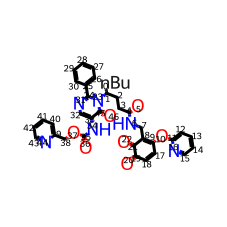 CCCCC(CCC(=O)NCC1=C(Oc2ccccn2)C=CC(=O)C1=O)n1c(-c2ccccc2)ncc(NC(=O)OCc2ccccn2)c1=O